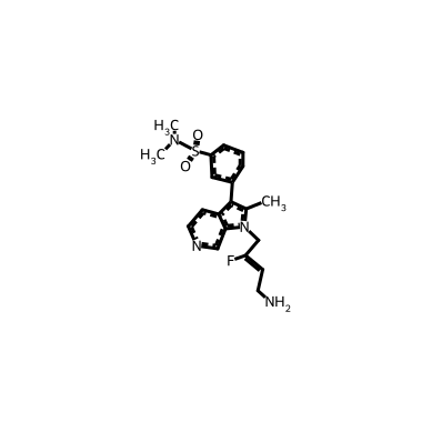 Cc1c(-c2cccc(S(=O)(=O)N(C)C)c2)c2ccncc2n1CC(F)=CCN